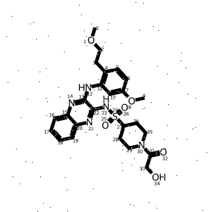 COCCc1ccc(OC)cc1Nc1nc2ccccc2nc1NS(=O)(=O)C1CCN(C(=O)CO)CC1